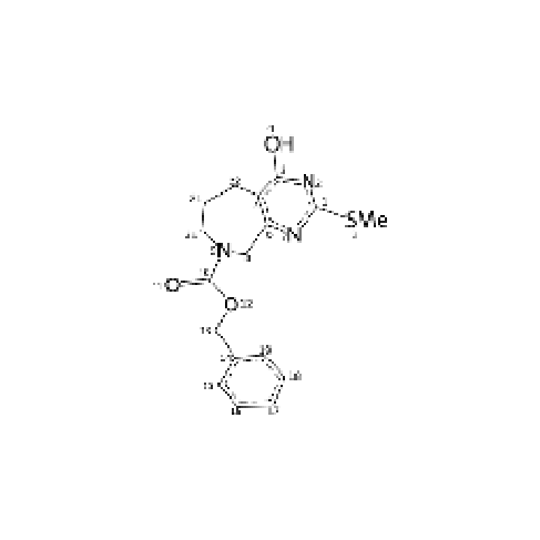 CSc1nc(O)c2c(n1)CN(C(=O)OCc1ccccc1)CCC2